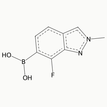 Cn1cc2ccc(B(O)O)c(F)c2n1